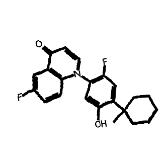 CC1(c2cc(F)c(-n3ccc(=O)c4cc(F)ccc43)cc2O)CCCCC1